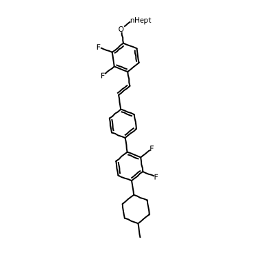 CCCCCCCOc1ccc(/C=C/c2ccc(-c3ccc(C4CCC(C)CC4)c(F)c3F)cc2)c(F)c1F